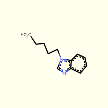 O=C(O)CCCCn1cnc2ccccc21